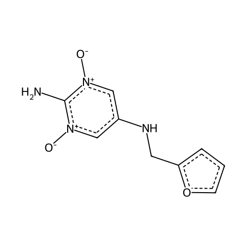 Nc1[n+]([O-])cc(NCc2ccco2)c[n+]1[O-]